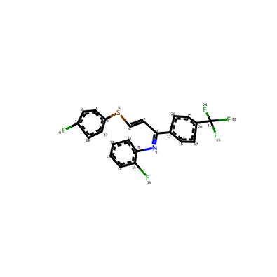 Fc1ccc(SC=CC(=Nc2ccccc2F)c2ccc(C(F)(F)F)cc2)cc1